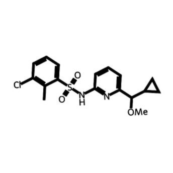 COC(c1cccc(NS(=O)(=O)c2cccc(Cl)c2C)n1)C1CC1